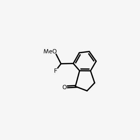 COC(F)c1cccc2c1C(=O)CC2